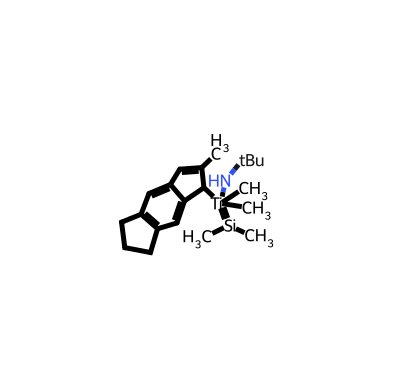 CC1=Cc2cc3c(cc2[CH]1[Ti]([CH3])([CH3])([NH]C(C)(C)C)=[Si](C)C)CCC3